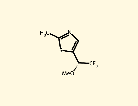 CO[C@H](c1cnc(C)s1)C(F)(F)F